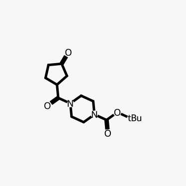 CC(C)(C)OC(=O)N1CCN(C(=O)C2CCC(=O)C2)CC1